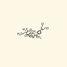 C=CCC1=C(C)C(=O)C(C(C)(C)CC(=O)N(C)c2ccc(N(CCCl)CCCl)cc2)=C(C)C1=O